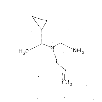 C=CCN(CN)C(C)C1CC1